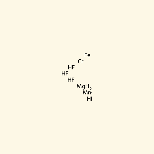 F.F.F.I.[Cr].[Fe].[MgH2].[Mn]